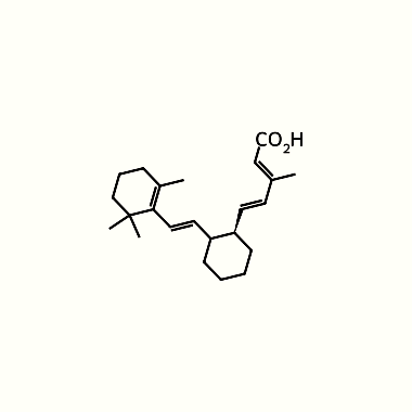 CC(C=C[C@H]1CCCCC1C=CC1=C(C)CCCC1(C)C)=CC(=O)O